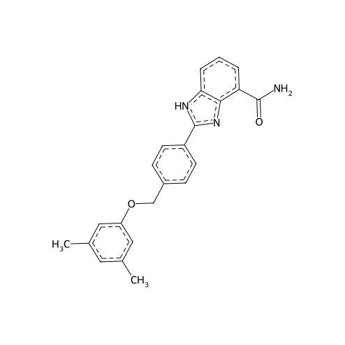 Cc1cc(C)cc(OCc2ccc(-c3nc4c(C(N)=O)cccc4[nH]3)cc2)c1